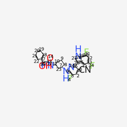 N#Cc1cc(F)c(N[C@@H]2CCC[C@H](NC(=O)[C@@H](O)c3ccccc3)C2)nc1-c1c[nH]c2c(F)cc(F)cc12